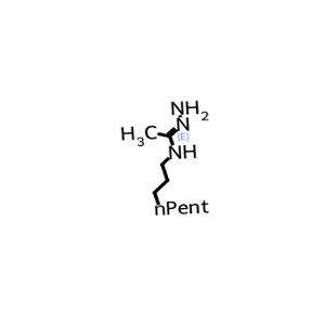 CCCCCCCCN/C(C)=N/N